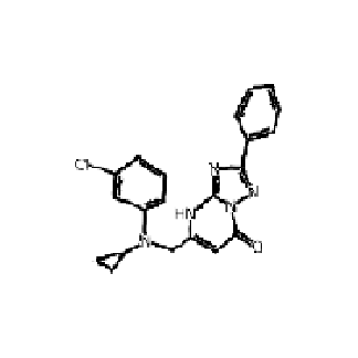 O=c1cc(CN(c2cccc(Cl)c2)C2CC2)[nH]c2nc(-c3ccccc3)nn12